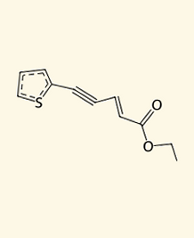 CCOC(=O)/C=C/C#Cc1cccs1